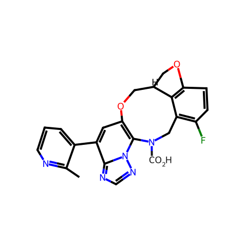 Cc1ncccc1-c1cc2c(n3ncnc13)N(C(=O)O)Cc1c(F)ccc3c1[C@@H](CO3)CO2